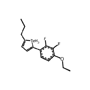 CCCC1=CC=C(c2ccc(OCC)c(F)c2F)[TeH2]1